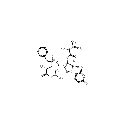 C=C(C)[C@H](N)C(=O)O[C@@H]1[C@@H](CO[P@@](=O)(N[C@@H](C)C(=O)OC(C)C)Oc2ccccc2)O[C@@H](n2ccc(=O)[nH]c2=O)[C@]1(Cl)Br